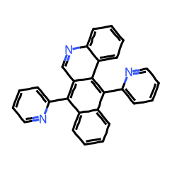 c1ccc(-c2c3ccccc3c(-c3ccccn3)c3c2cnc2ccccc23)nc1